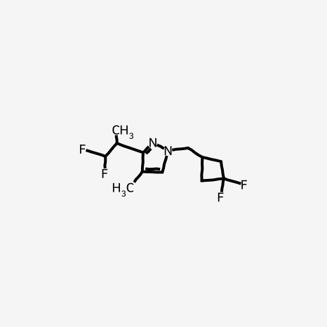 Cc1cn(CC2CC(F)(F)C2)nc1C(C)C(F)F